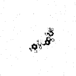 CN(C)c1ccc(NC(=O)NCc2ccc3c(c2)CN(C2CCC(=O)NC2=O)C3=O)cc1Cl